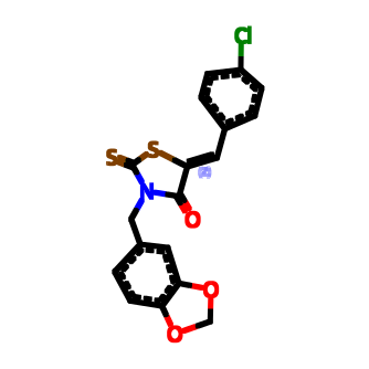 O=C1/C(=C/c2ccc(Cl)cc2)SC(=S)N1Cc1ccc2c(c1)OCO2